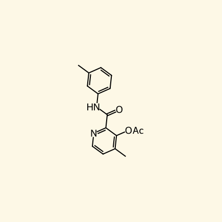 CC(=O)Oc1c(C)ccnc1C(=O)Nc1cccc(C)c1